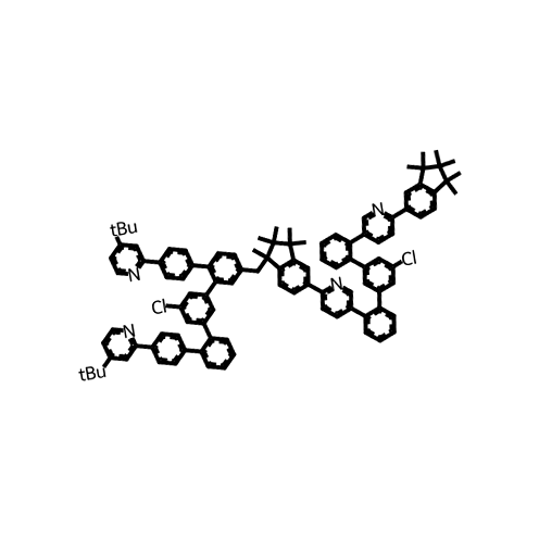 CC(C)(C)c1ccnc(-c2ccc(-c3ccccc3-c3cc(Cl)cc(-c4cc(CC5(C)c6ccc(-c7ccc(-c8ccccc8-c8cc(Cl)cc(-c9ccccc9-c9ccc(-c%10ccc%11c(c%10)C(C)(C)C(C)(C)C%11(C)C)nc9)c8)cn7)cc6C(C)(C)C5(C)C)ccc4-c4ccc(-c5cc(C(C)(C)C)ccn5)cc4)c3)cc2)c1